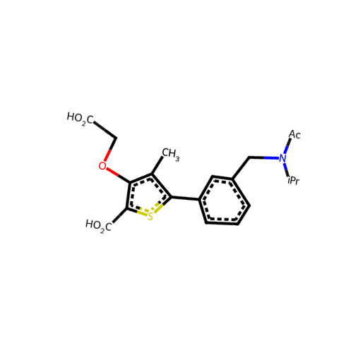 CC(=O)N(Cc1cccc(-c2sc(C(=O)O)c(OCC(=O)O)c2C)c1)C(C)C